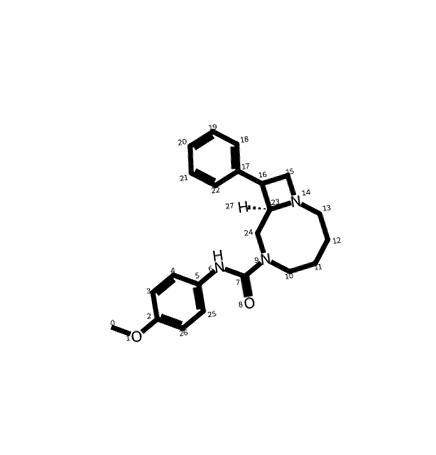 COc1ccc(NC(=O)N2CCCCN3CC(c4ccccc4)[C@@H]3C2)cc1